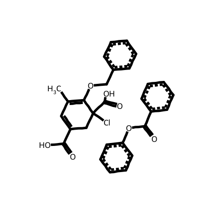 CC1=C(OCc2ccccc2)C(Cl)(C(=O)O)CC(C(=O)O)=C1.O=C(Oc1ccccc1)c1ccccc1